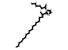 CCCCCCCCCCCCCCCCC(C)c1nccn1C(C)CCCCC